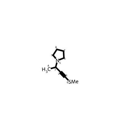 CSC#CC(C)N1CCCC1